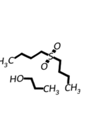 CCCCS(=O)(=O)CCCC.CCCO